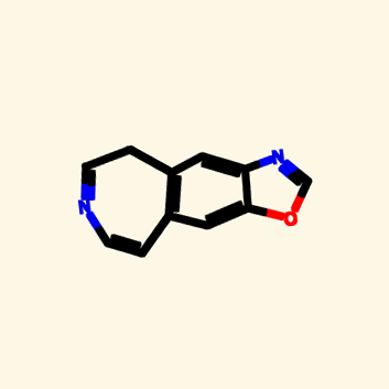 C1=Cc2cc3ocnc3cc2CC=N1